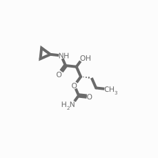 CCC[C@H](OC(N)=O)C(O)C(=O)NC1CC1